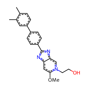 COc1cc2nc(-c3ccc(-c4ccc(C)c(C)c4)cc3)nc-2cn1CCO